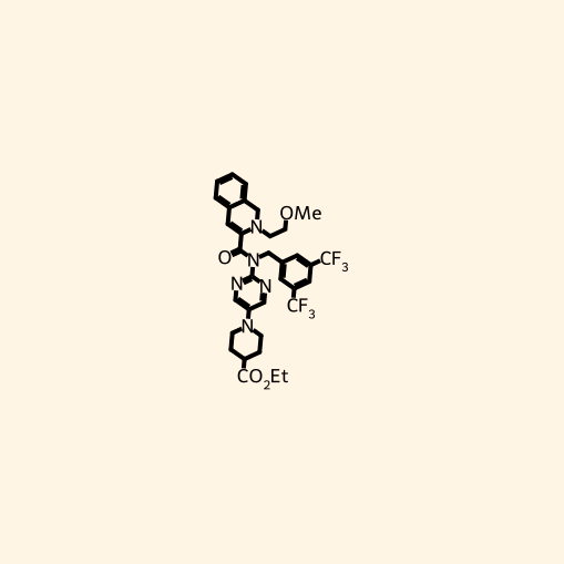 CCOC(=O)C1CCN(c2cnc(N(Cc3cc(C(F)(F)F)cc(C(F)(F)F)c3)C(=O)C3=Cc4ccccc4CN3CCOC)nc2)CC1